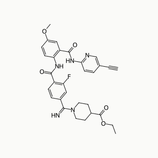 C#Cc1ccc(NC(=O)c2cc(OC)ccc2NC(=O)c2ccc(C(=N)N3CCC(C(=O)OCC)CC3)cc2F)nc1